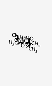 CCC(NC(=O)CCl)C(=O)Nc1sc(C)c(C)c1C(N)=O